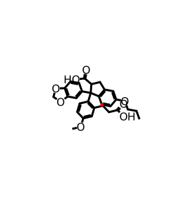 CCCOc1ccc2c(c1)CC(C(=O)O)C2(c1ccc2c(c1)OCO2)c1ccc(OC)cc1CCC(=O)O